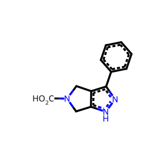 O=C(O)N1Cc2[nH]nc(-c3ccccc3)c2C1